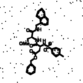 COC[C@H](NC(=O)[C@H](CC(=O)OCc1ccccc1)NS(=O)(=O)c1ccc(C)cc1)C(=O)NCc1cccc2ccccc12